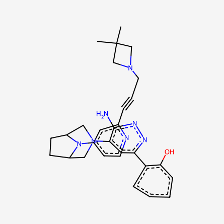 CC1(C)CN(CC#Cc2cc(N3C4CCC3CN(c3cc(-c5ccccc5O)nnc3N)C4)ccn2)C1